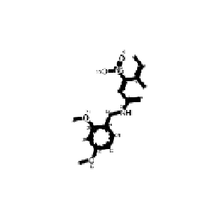 C=C(/C=C(\C(C)=C/C)[N+](=O)[O-])NCc1ccc(OC)cc1OC